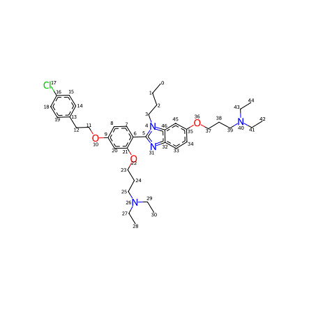 CCCCn1c(-c2ccc(OCCc3ccc(Cl)cc3)cc2OCCCN(CC)CC)nc2ccc(OCCCN(CC)CC)cc21